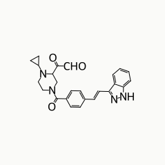 O=CC(=O)C1CN(C(=O)c2ccc(C=Cc3n[nH]c4ccccc34)cc2)CCN1C1CC1